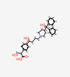 O=C(O)C(CO)c1ccc(C(O)CCCN2CCC(C(O)(c3ccccc3)c3ccccc3)CC2)cc1